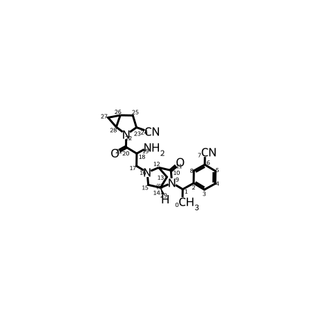 CC(c1cccc(C#N)c1)N1C(=O)C2C[C@H]1CN2CC(N)C(=O)N1C(C#N)CC2CC21